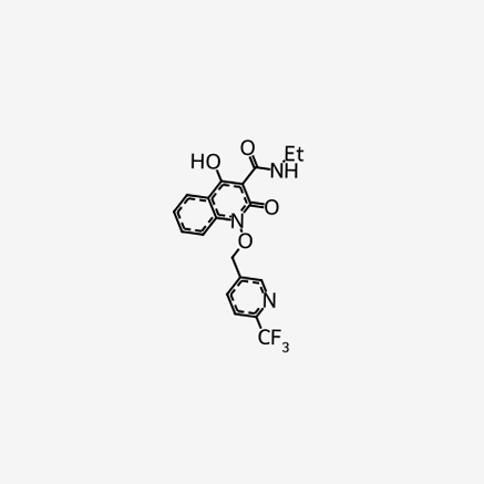 CCNC(=O)c1c(O)c2ccccc2n(OCc2ccc(C(F)(F)F)nc2)c1=O